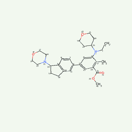 CCN(c1cc(-c2ccc3c(c2)CCC3N2CCOCC2)cc(C(=O)OC)c1C)C1CCOCC1